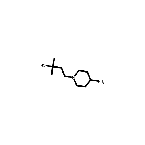 CC(C)(O)CCN1CCC(N)CC1